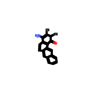 N#CC1=C(N)c2ccc3cc4ccccc4cc3c2C(=O)C1C#N